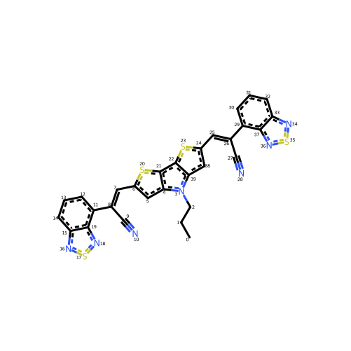 CCCn1c2cc(/C=C(\C#N)c3cccc4nsnc34)sc2c2sc(/C=C(\C#N)c3cccc4nsnc34)cc21